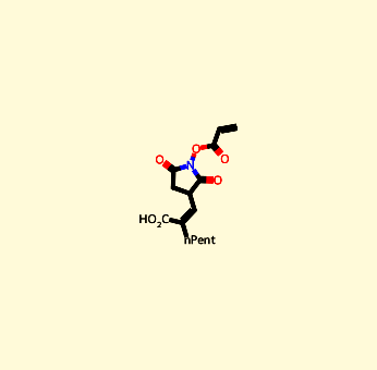 C=CC(=O)ON1C(=O)CC(C=C(CCCCC)C(=O)O)C1=O